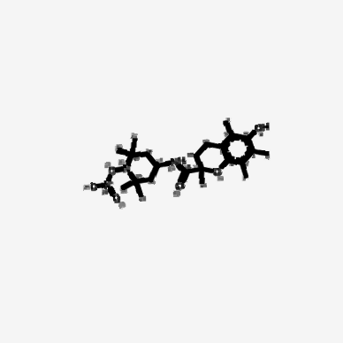 Cc1c(C)c2c(c(C)c1O)CCC(C)(C(=O)NC1CC(C)(C)N(O[N+](=O)[O-])C(C)(C)C1)O2